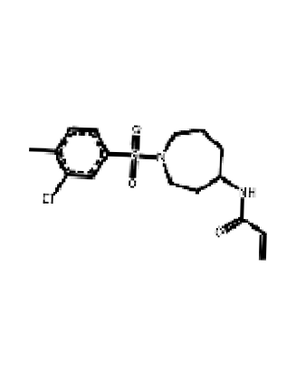 C=CC(=O)NC1CCCN(S(=O)(=O)c2ccc(C)c(Cl)c2)CC1